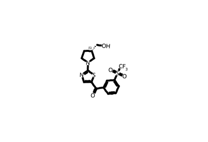 O=C(c1cccc(S(=O)(=O)C(F)(F)F)c1)c1cnc(N2CC[C@H](CO)C2)s1